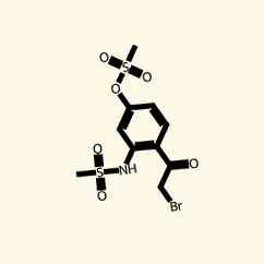 CS(=O)(=O)Nc1cc(OS(C)(=O)=O)ccc1C(=O)CBr